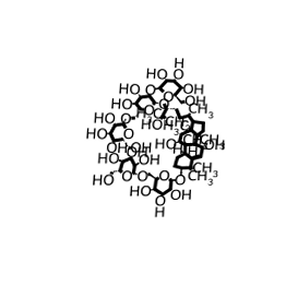 C[C@H](CC[C@@H](O[C@@H]1O[C@H](CO[C@@H]2O[C@H](CO)[C@@H](O)[C@H](O)[C@H]2O)[C@@H](O)[C@H](O)[C@H]1O[C@@H]1O[C@H](CO)[C@@H](O)[C@H](O)[C@H]1O)C(C)(C)O)C1CC[C@@]2(C)[C@@H]3C(O)C=C4[C@@H](CC[C@H](O[C@@H]5O[C@H](CO[C@@H]6O[C@H](CO)[C@@H](O)[C@H](O)[C@H]6O)[C@@H](O)[C@H](O)[C@H]5O)C4(C)C)[C@]3(C)[C@H](O)C[C@]12C